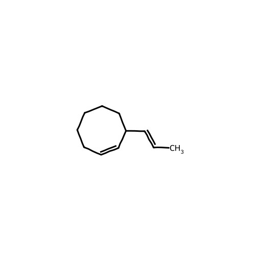 CC=CC1C=CCCCCC1